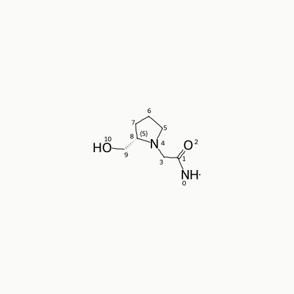 [NH]C(=O)CN1CCC[C@H]1CO